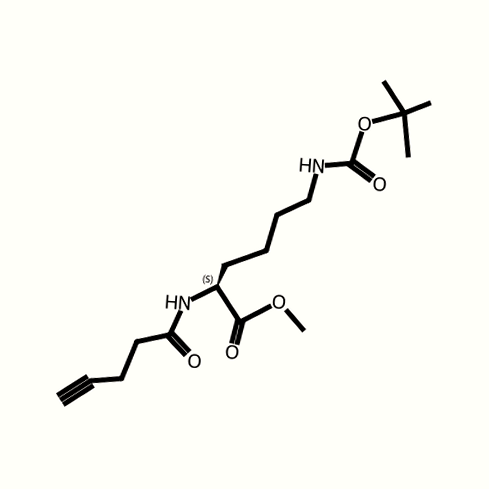 C#CCCC(=O)N[C@@H](CCCCNC(=O)OC(C)(C)C)C(=O)OC